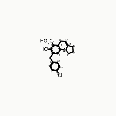 O=C(O)c1c(O)c(Cc2ccc(Cl)cc2)cc2c1CC=C1CCCN12